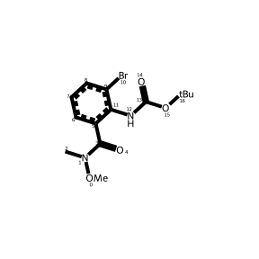 CON(C)C(=O)c1cccc(Br)c1NC(=O)OC(C)(C)C